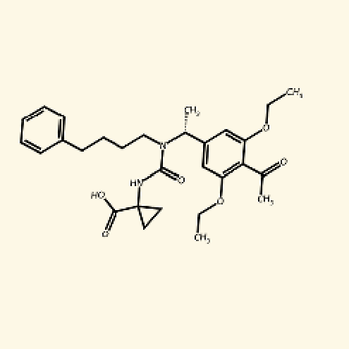 CCOc1cc([C@@H](C)N(CCCCc2ccccc2)C(=O)NC2(C(=O)O)CC2)cc(OCC)c1C(C)=O